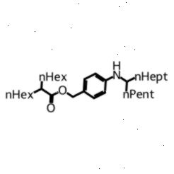 CCCCCCCC(CCCCC)Nc1ccc(COC(=O)C(CCCCCC)CCCCCC)cc1